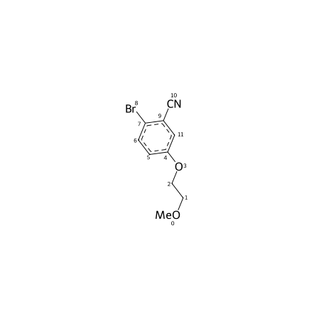 COCCOc1ccc(Br)c(C#N)c1